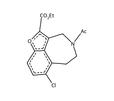 CCOC(=O)c1oc2ccc(Cl)c3c2c1CN(C(C)=O)CC3